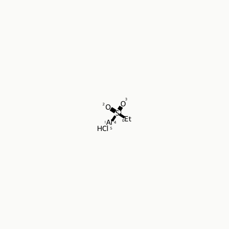 CC[S](=O)(=O)[Al].Cl